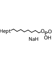 CCCCCCCCCCCCCCCOP(O)O.[NaH]